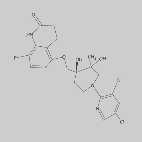 C[C@]1(O)CN(c2ncc(Cl)cc2Cl)CC[C@]1(O)COc1ccc(F)c2c1CCC(=O)N2